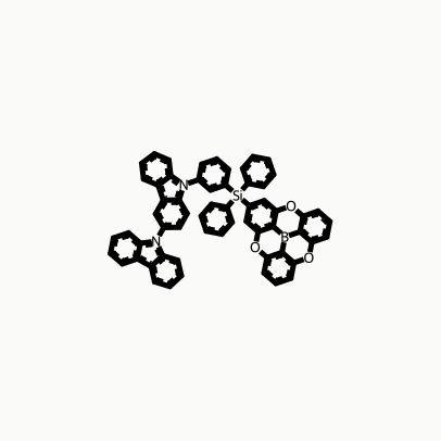 c1ccc([Si](c2ccccc2)(c2cccc(-n3c4ccccc4c4cc(-n5c6ccccc6c6ccccc65)ccc43)c2)c2cc3c4c(c2)Oc2cccc5c2B4c2c(cccc2O3)O5)cc1